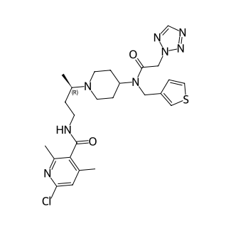 Cc1cc(Cl)nc(C)c1C(=O)NCC[C@@H](C)N1CCC(N(Cc2ccsc2)C(=O)Cn2ncnn2)CC1